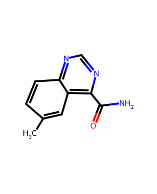 Cc1ccc2ncnc(C(N)=O)c2c1